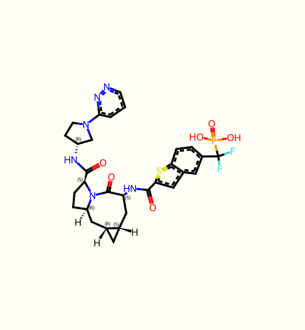 O=C(N[C@H]1C[C@@H]2C[C@@H]2C[C@H]2CC[C@@H](C(=O)N[C@@H]3CCN(c4cccnn4)C3)N2C1=O)c1cc2cc(C(F)(F)P(=O)(O)O)ccc2s1